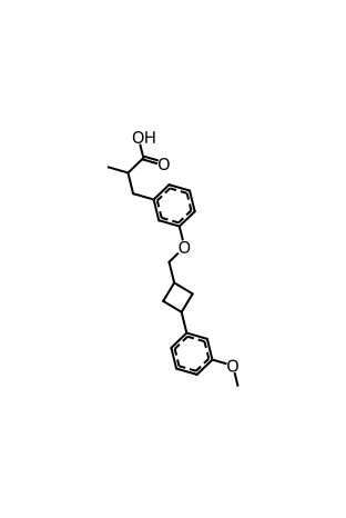 COc1cccc(C2CC(COc3cccc(CC(C)C(=O)O)c3)C2)c1